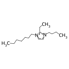 CCCCCCC[n+]1ccn(CCCC)c1CC